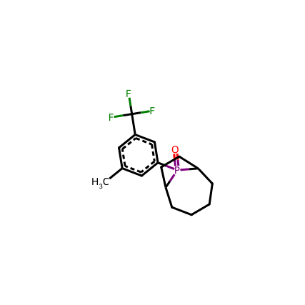 Cc1cc(C(F)(F)F)cc(P2(=O)C3CCCCC2CC3)c1